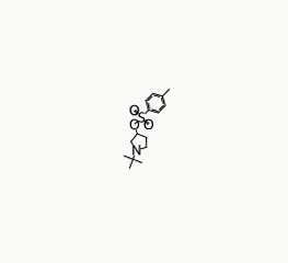 Cc1ccc(S(=O)(=O)OC2CCN(C(C)(C)C)C2)cc1